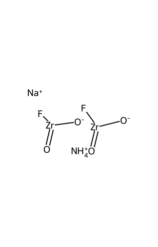 [NH4+].[Na+].[O]=[Zr]([O-])[F].[O]=[Zr]([O-])[F]